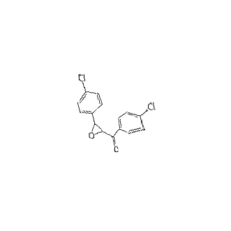 O=C(c1ccc(Cl)cc1)C1OC1c1ccc(Cl)cc1